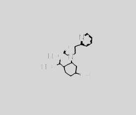 CC1CCC(C(C)C)C(N(C=O)CCc2ccccn2)C1